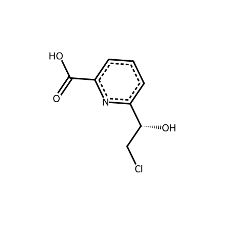 O=C(O)c1cccc([C@H](O)CCl)n1